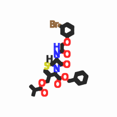 CC(C)C(=O)OCC1=CS[C@H]2C(NC(=O)COc3cccc(Br)c3)C(=O)N2C1C(=O)OCc1ccccc1